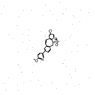 COc1ccc(-c2ccc3c(c2)/C=C\c2cc(Cl)ccc2N(S(C)(=O)=O)C3)cn1